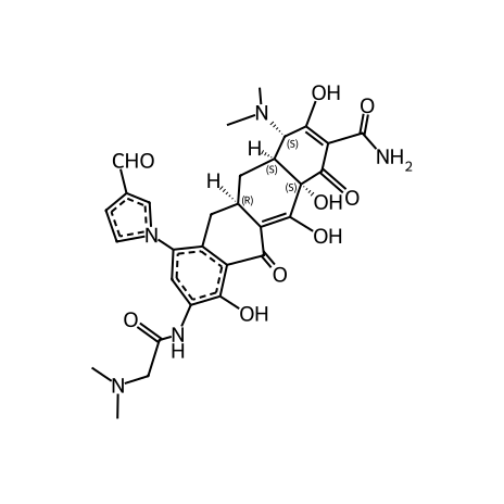 CN(C)CC(=O)Nc1cc(-n2ccc(C=O)c2)c2c(c1O)C(=O)C1=C(O)[C@]3(O)C(=O)C(C(N)=O)=C(O)[C@@H](N(C)C)[C@@H]3C[C@@H]1C2